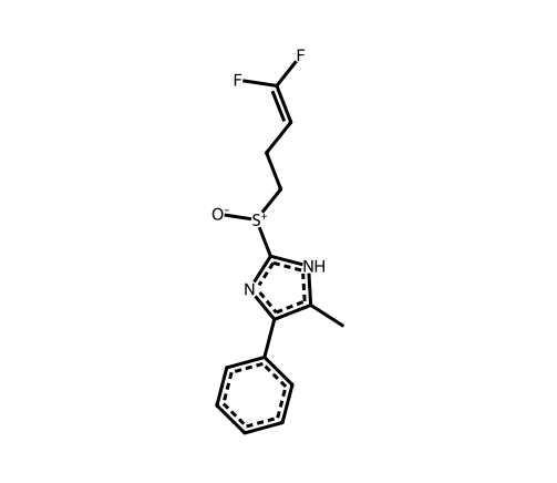 Cc1[nH]c([S+]([O-])CCC=C(F)F)nc1-c1ccccc1